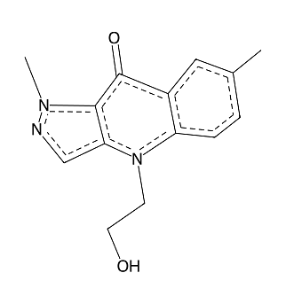 Cc1ccc2c(c1)c(=O)c1c(cnn1C)n2CCO